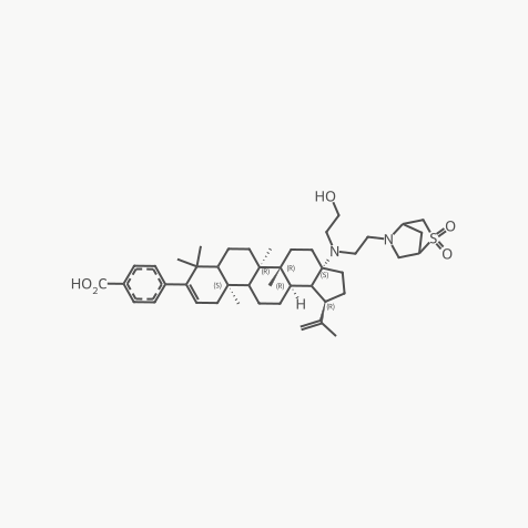 C=C(C)[C@@H]1CC[C@]2(N(CCO)CCN3CC4CC3CS4(=O)=O)CC[C@]3(C)[C@H](CCC4[C@@]5(C)CC=C(c6ccc(C(=O)O)cc6)C(C)(C)C5CC[C@]43C)C12